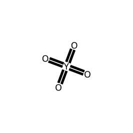 [O]=[Y](=[O])(=[O])=[O]